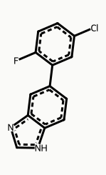 Fc1ccc(Cl)cc1-c1ccc2[nH]cnc2c1